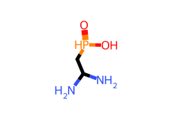 NC(N)C[PH](=O)O